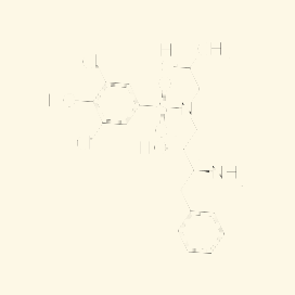 CC(C)CN(C[C@@H](O)[C@@H](N)Cc1ccccc1)S(=O)(=O)c1cc(Cl)c(O)c(Cl)c1